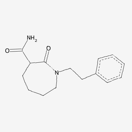 NC(=O)C1CCCCN(CCc2ccccc2)C1=O